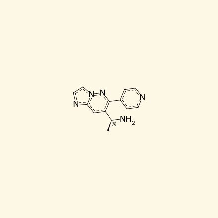 C[C@H](N)c1cc2nccn2nc1-c1ccncc1